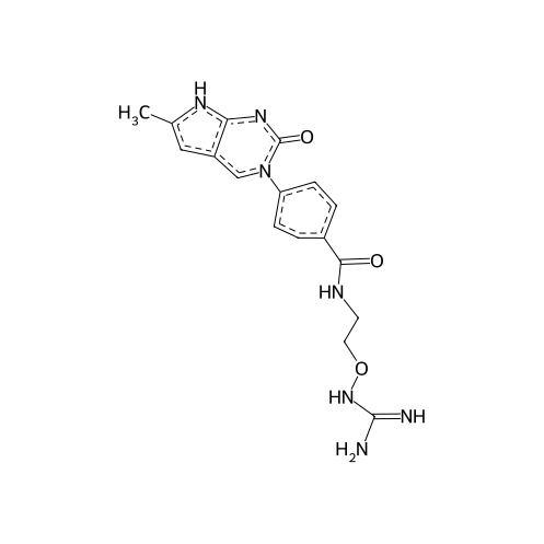 Cc1cc2cn(-c3ccc(C(=O)NCCONC(=N)N)cc3)c(=O)nc2[nH]1